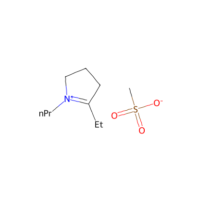 CCC[N+]1=C(CC)CCC1.CS(=O)(=O)[O-]